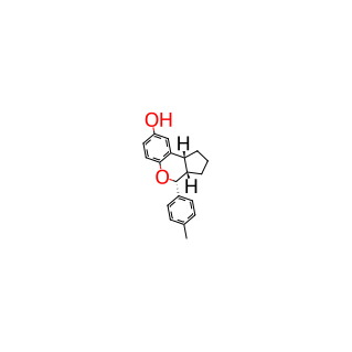 Cc1ccc([C@@H]2Oc3ccc(O)cc3[C@@H]3CCC[C@@H]32)cc1